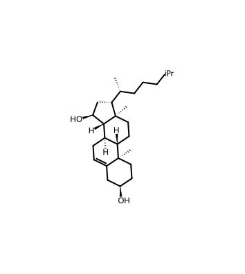 CC(C)CCC[C@@H](C)[C@H]1C[C@H](O)[C@H]2[C@@H]3CC=C4C[C@H](O)CC[C@]4(C)[C@H]3CC[C@@]21C